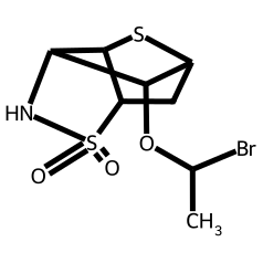 CC(Br)OC1C2CC3C(S2)C1NS3(=O)=O